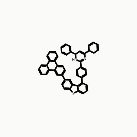 C1=CCC(C2=CC(c3ccccc3)NC(c3ccc(-c4cccc5sc6ccc(-c7ccc8c9ccccc9c9ccccc9c8c7)cc6c45)cc3)=N2)C=C1